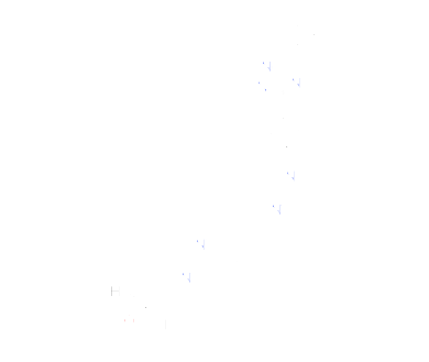 CC(C)(O)C1CN(c2ccc(C3CN(C(=O)N4CC5(CC(c6nnc(C7CC7)[nH]6)C5)C4)C3)cn2)C1